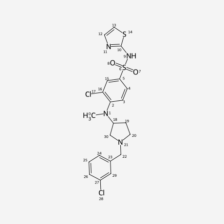 CN(c1ccc(S(=O)(=O)Nc2nccs2)cc1Cl)C1CCN(Cc2cccc(Cl)c2)C1